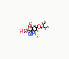 CCC(CC)COc1ccc([C@@H](N)CO)c(OC)c1